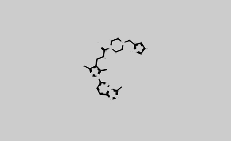 Cc1nn(-c2ccc3nnc(C)n3n2)c(C)c1CCC(=O)N1CCN(Cc2ccco2)CC1